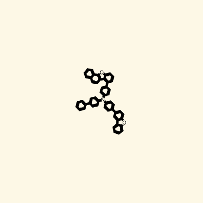 c1ccc(-c2ccc(N(c3ccc(-c4ccc5oc6ccccc6c5c4)cc3)c3ccc(-c4cccc5oc6c7ccccc7ccc6c45)cc3)cc2)cc1